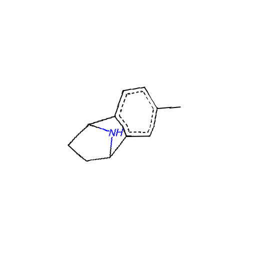 Cc1ccc2c(c1)C1CCC2N1